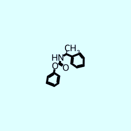 C[C@@H](NC(=O)Oc1ccccc1)c1ccccc1